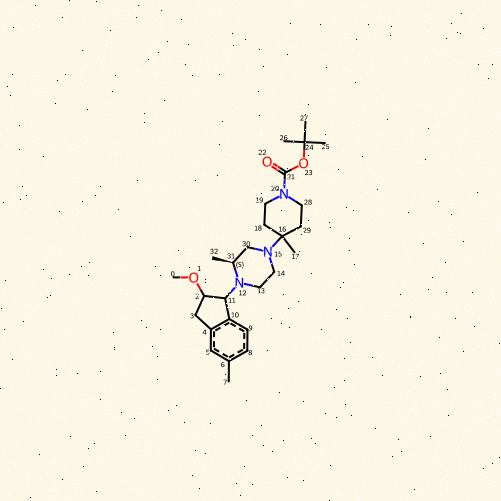 COC1Cc2cc(C)ccc2C1N1CCN(C2(C)CCN(C(=O)OC(C)(C)C)CC2)C[C@@H]1C